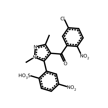 Cc1nn(C)c(-c2cc([N+](=O)[O-])ccc2S(=O)(=O)O)c1C(=O)c1cc(Cl)ccc1[N+](=O)[O-]